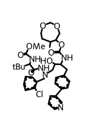 COC(=O)NC(C(=O)NN(Cc1ccccc1Cl)CC(O)C(Cc1ccc(-c2cccnc2)cc1)NC(=O)OC1COCOCCC1C)C(C)(C)C